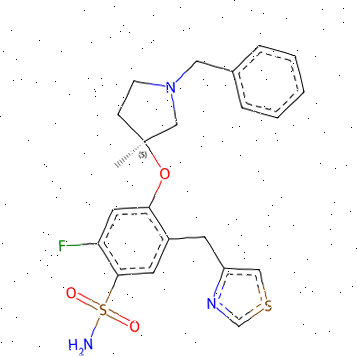 C[C@]1(Oc2cc(F)c(S(N)(=O)=O)cc2Cc2cscn2)CCN(Cc2ccccc2)C1